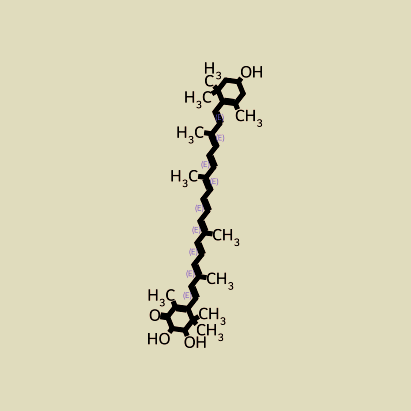 CC1=C(/C=C/C(C)=C/C=C/C(C)=C/C=C/C=C(C)/C=C/C=C(C)/C=C/C2=C(C)C(=O)C(O)C(O)C2(C)C)C(C)(C)CC(O)C1